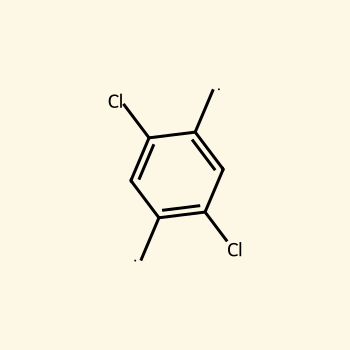 [CH2]c1cc(Cl)c([CH2])cc1Cl